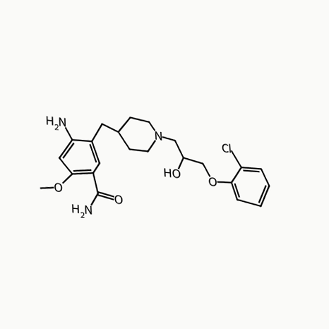 COc1cc(N)c(CC2CCN(CC(O)COc3ccccc3Cl)CC2)cc1C(N)=O